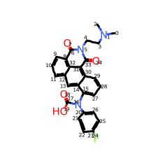 CN(C)CCN1C(=O)c2cccc3cc4c(N(C(=O)O)c5ccc(F)cc5)cccc4c(c23)C1=O